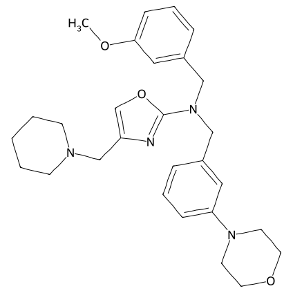 COc1cccc(CN(Cc2cccc(N3CCOCC3)c2)c2nc(CN3CCCCC3)co2)c1